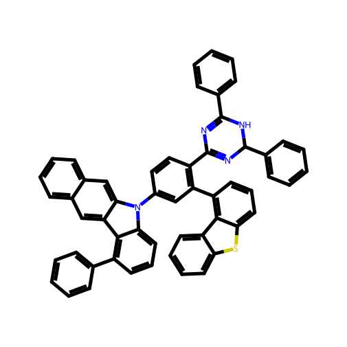 c1ccc(C2=NC(c3ccc(-n4c5cc6ccccc6cc5c5c(-c6ccccc6)cccc54)cc3-c3cccc4sc5ccccc5c34)=NC(c3ccccc3)N2)cc1